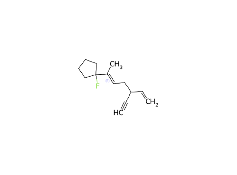 C#CC(C=C)C/C=C(\C)C1(F)CCCC1